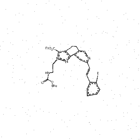 CCOC(=O)c1c2c(nn1CCNC(=O)OC(C)(C)C)-c1cc(C=Cc3ccccc3F)ncc1CC2